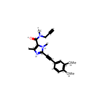 C#CCN(C(C)=O)C(=O)c1c(C)nc(C#Cc2ccc(OC)c(OC)c2)n1C